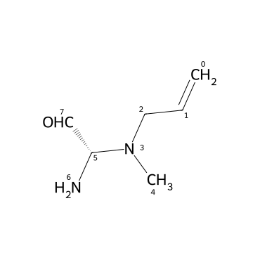 C=CCN(C)[C@H](N)C=O